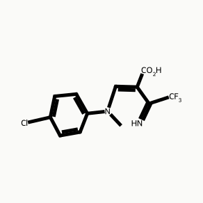 CN(/C=C(\C(=N)C(F)(F)F)C(=O)O)c1ccc(Cl)cc1